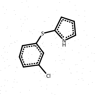 Clc1cccc(Sc2ccc[nH]2)c1